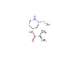 C=C(C)C(=O)O.OCC1CCCCN1